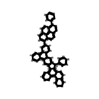 c1ccc(-c2ccc3ccc4c(-c5ccc6c(c5)c5ccccc5c5cc7c8c9ccccc9c9c%10ccccc%10ccc9c8n(-c8ccccc8)c7cc65)ccc5ccc2c3c54)cc1